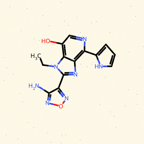 CCn1c(-c2nonc2N)nc2c(-c3ccc[nH]3)ncc(O)c21